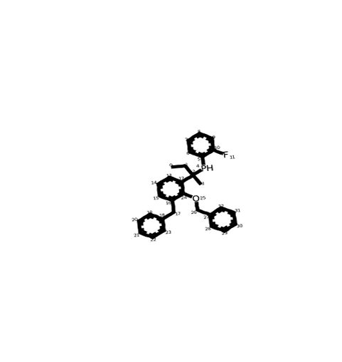 CCC(C)(Pc1ccccc1F)c1cccc(Cc2ccccc2)c1OCc1ccccc1